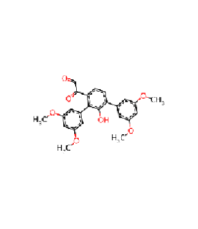 COc1cc(OC)cc(-c2ccc(C(=O)C=O)c(-c3cc(OC)cc(OC)c3)c2O)c1